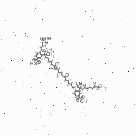 COC(=O)CCCCCC1(C)C(C)=[N+](CCCCCC(=O)NCCCNC(=O)CCCCCC2(C)C(C)=[N+](CCCS(=O)(=O)O)c3ccc(S(=O)(=O)O)cc32)c2ccc(S(=O)(=O)O)cc21